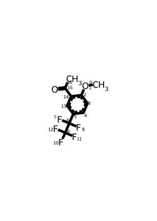 COc1ccc(C(F)(F)C(F)(F)F)cc1C(C)=O